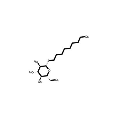 OCCCCCCCCS[C@@H]1O[C@H](CO)[C@@H](O)[C@H](O)[C@H]1O